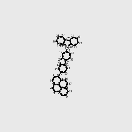 c1cc2ccc3ccc(-c4ccc5c(c4)sc4cc(-n6c7ccccc7c7cccnc76)ccc45)c4ccc(c1)c2c34